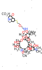 CC[C@H]1OC(=O)[C@H](C)[C@@H](O[C@H]2C[C@@](C)(OC)[C@@H](OC(=O)NCCOCCSc3cc4c5c(c3)c(=O)c(C(=O)O)cn5CC4)[C@H](C)O2)[C@H](C)[C@@H](OC2O[C@H](C)C[C@H](N(C)C)[C@H]2O)[C@](C)(O)C[C@@H](C)/C(=N\OCC#N)[C@H](C)[C@@H](O)[C@]1(C)O